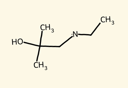 CC[N]CC(C)(C)O